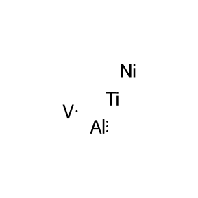 [Al].[Ni].[Ti].[V]